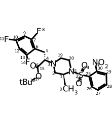 C[C@H]1CN([C@@H](Cc2c(F)cc(F)cc2F)C(=O)OC(C)(C)C)CCN1S(=O)(=O)c1ccccc1[N+](=O)[O-]